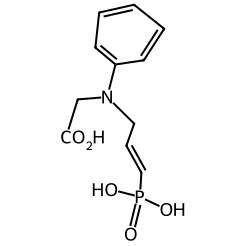 O=C(O)CN(CC=CP(=O)(O)O)c1ccccc1